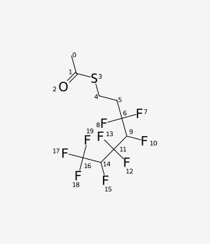 CC(=O)SCCC(F)(F)C(F)C(F)(F)C(F)C(F)(F)F